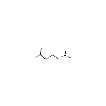 F[C](F)CCCC(F)F